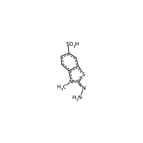 Cn1/c(=N\N)sc2cc(S(=O)(=O)O)ccc21